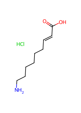 Cl.NCCCCCC/C=C/C(=O)O